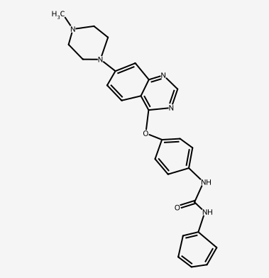 CN1CCN(c2ccc3c(Oc4ccc(NC(=O)Nc5ccccc5)cc4)ncnc3c2)CC1